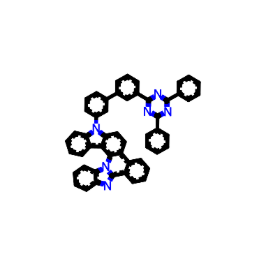 c1ccc(-c2nc(-c3ccccc3)nc(-c3cccc(-c4cccc(-n5c6ccccc6c6c5ccc5c7ccccc7c7nc8ccccc8n7c56)c4)c3)n2)cc1